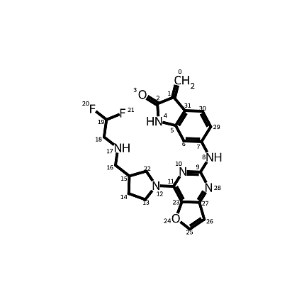 C=C1C(=O)Nc2cc(Nc3nc(N4CCC(CNCC(F)F)C4)c4occc4n3)ccc21